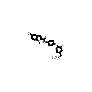 CCOC(=O)Cc1ccc(Oc2ccc(NC(=O)c3cc4cc(Cl)ccc4n3C)cc2)c(Cl)c1